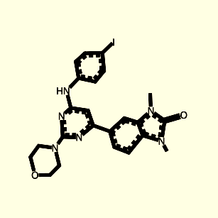 Cn1c(=O)n(C)c2cc(-c3cc(Nc4ccc(I)cc4)nc(N4CCOCC4)n3)ccc21